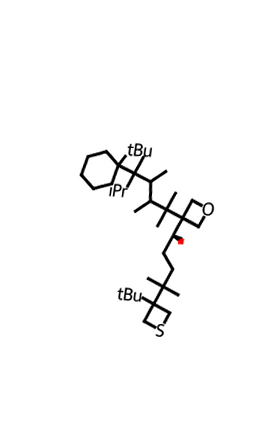 CC(C(C)C(C)(C(C)C)C1(C(C)(C)C)CCCCC1)C(C)(C)C1(C(C)(C)CCC(C)(C)C2(C(C)(C)C)CSC2)COC1